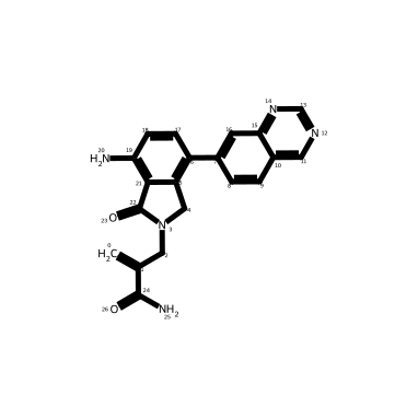 C=C(CN1Cc2c(-c3ccc4cncnc4c3)ccc(N)c2C1=O)C(N)=O